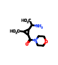 NC(C(=O)O)C1C(C(=O)O)C1C(=O)N1CCOCC1